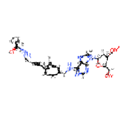 O=C(NCC#Cc1ccc(CNc2ncnc3c2ncn3[C@H]2C[C@@H](O)[C@@H](CO)O2)cc1)C(F)(F)F